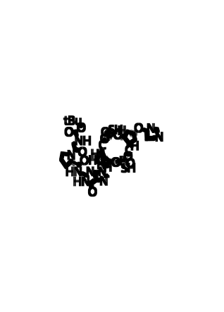 CC(C)(C)OC(=O)NCC(=O)N1CCC[C@@H]1C(=O)Nc1nc2c(ncn2[C@@H]2O[C@@H]3CO[P@@](=O)(S)O[C@H]4C[C@H](Oc5ccncn5)C[C@@H]4CO[P@@](=O)(S)O[C@@H]2[C@@H]3O)c(=O)[nH]1